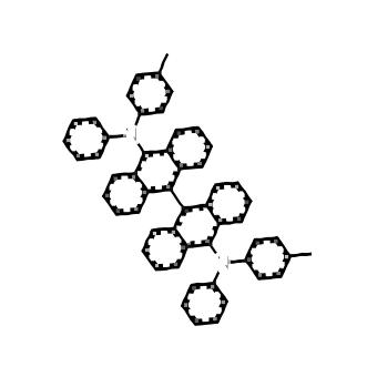 Cc1ccc(N(c2ccccc2)c2c3ccccc3c(-c3c4ccccc4c(N(c4ccccc4)c4ccc(C)cc4)c4ccccc34)c3ccccc23)cc1